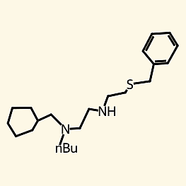 CCCCN(CCNCCSCc1ccccc1)CC1CCCCC1